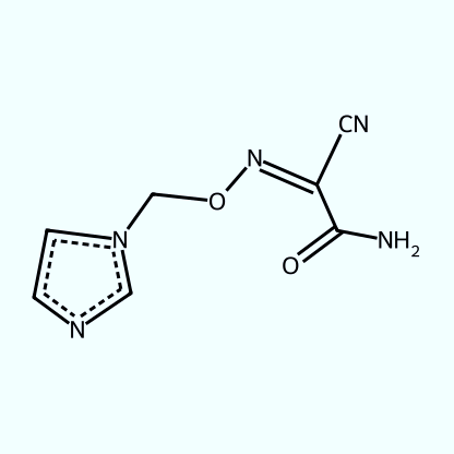 N#CC(=NOCn1ccnc1)C(N)=O